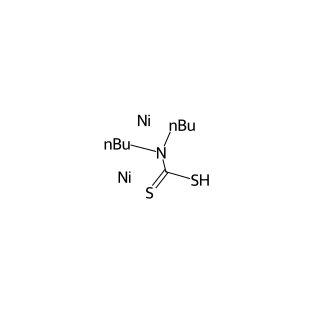 CCCCN(CCCC)C(=S)S.[Ni].[Ni]